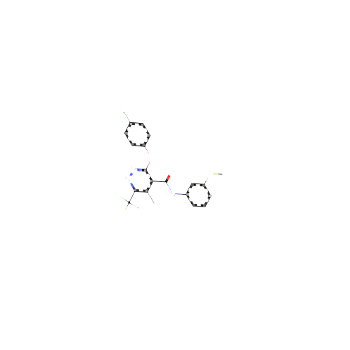 CSc1cccc(NC(=O)c2c(Oc3ccc(Cl)cc3)nnc(C(F)(F)F)c2C)c1